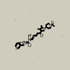 CC(=O)N1CCC(n2cc(C(=O)CCCCNC(=O)NCc3cccnc3)c(C)c2C)CC1